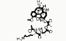 COc1ccc2c3c1O[C@H]1C(OC(=O)[C@H](C)OC(=O)[C@H](C)NC(=O)[C@H](CCCCN)NC(C)=O)=CC[C@@]4(O)[C@@H](C2)N(N)CC[C@]314